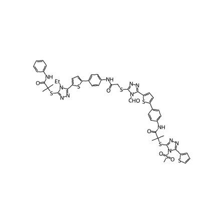 CCn1c(SC(C)(C)C(=O)Nc2ccccc2)nnc1-c1ccc(-c2ccc(NC(=O)CSc3nnc(-c4ccc(-c5ccc(NC(=O)C(C)(C)Sc6nnc(-c7cccs7)n6S(C)(=O)=O)cc5)s4)n3C=O)cc2)s1